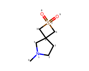 CN1CCC2(C1)CS(=O)(=O)C2